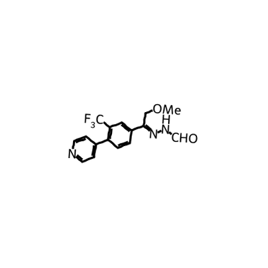 COC/C(=N\NC=O)c1ccc(-c2ccncc2)c(C(F)(F)F)c1